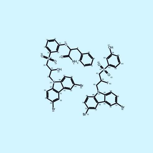 NC(=O)C(Cc1ccccc1)Oc1cccc(S(=O)(=O)CC(O)Cn2c3ccc(Br)cc3c3cc(Br)ccc32)c1.O=S(=O)(CC(F)Cn1c2ccc(Br)cc2c2cc(Br)ccc21)c1cccc(O)c1